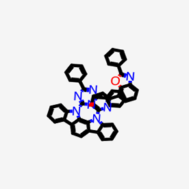 c1ccc(-c2nc(-c3ccccc3)nc(-n3c4ccccc4c4ccc5c6ccccc6n(-c6cccc(-c7cccc8nc(-c9ccccc9)oc78)n6)c5c43)n2)cc1